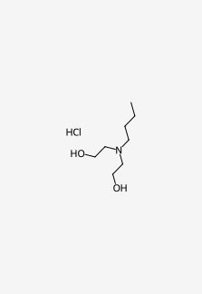 CCCCN(CCO)CCO.Cl